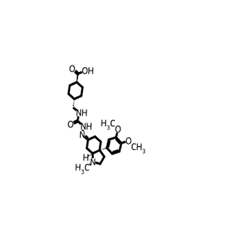 COc1ccc([C@@]23CC/C(=N\NC(=O)NC[C@H]4CC[C@H](C(=O)O)CC4)C[C@@H]2N(C)CC3)cc1OC